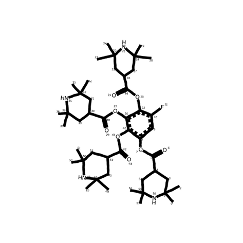 CC1(C)CC(C(=O)Oc2cc(F)c(OC(=O)C3CC(C)(C)NC(C)(C)C3)c(OC(=O)C3CC(C)(C)NC(C)(C)C3)c2OC(=O)C2CC(C)(C)NC(C)(C)C2)CC(C)(C)N1